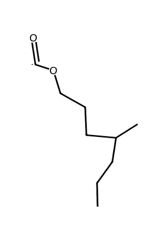 CCCC(C)CCCO[C]=O